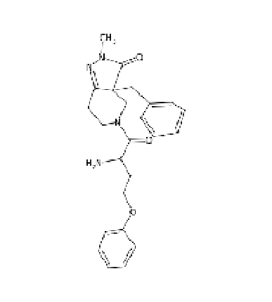 CN1N=C2CCN(C(=O)C(N)CCOc3ccccc3)CC2(Cc2ccccc2)C1=O